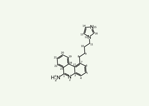 Nc1nc2cccc(CCCCn3ccnc3)c2c2ccccc12